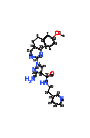 COc1ccc2c(c1)CCc1cnc(-n3cc(C(=O)NCCc4cccnc4)c(N)n3)nc1-2